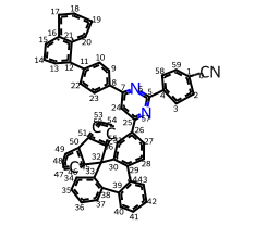 N#Cc1ccc(-c2nc(-c3ccc(-c4cccc5ccccc45)cc3)cc(-c3ccc4c(c3)C3(c5ccccc5-c5ccccc5-4)c4ccccc4-c4ccccc43)n2)cc1